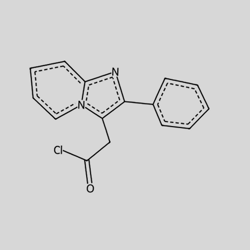 O=C(Cl)Cc1c(-c2ccccc2)nc2ccccn12